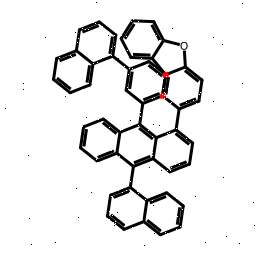 c1cc(-c2cccc3ccccc23)cc(-c2c3ccccc3c(-c3cccc4ccccc34)c3cccc(-c4ccc5oc6ccccc6c5c4)c23)c1